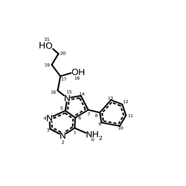 Nc1ncnc2c1c(-c1ccccc1)cn2CC(O)CCO